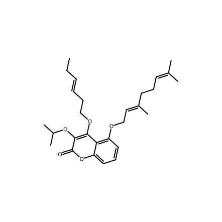 CC/C=C/CCOc1c(OC(C)C)c(=O)oc2cccc(OC/C=C(\C)CCC=C(C)C)c12